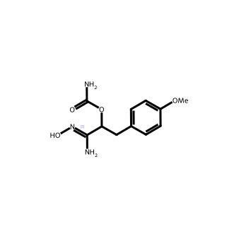 COc1ccc(CC(OC(N)=O)/C(N)=N/O)cc1